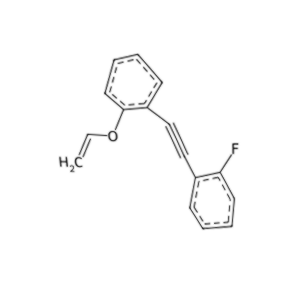 C=COc1ccccc1C#Cc1ccccc1F